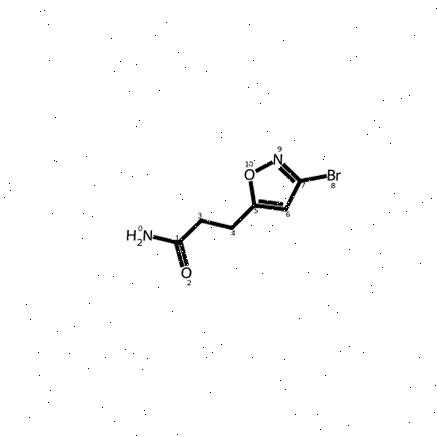 NC(=O)CCc1cc(Br)no1